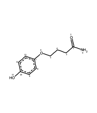 NC(=O)CCCOc1ccc(O)cc1